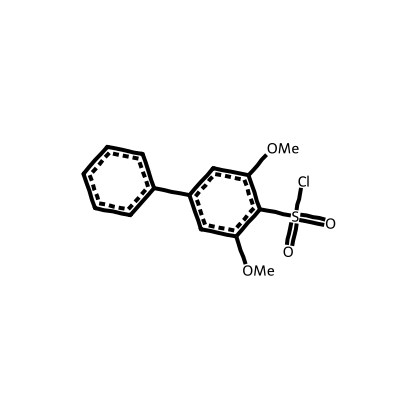 COc1cc(-c2ccccc2)cc(OC)c1S(=O)(=O)Cl